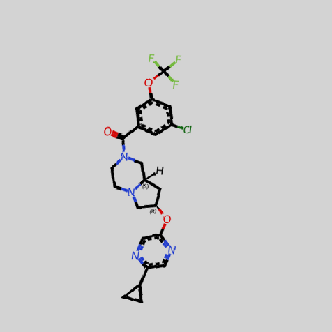 O=C(c1cc(Cl)cc(OC(F)(F)F)c1)N1CCN2C[C@H](Oc3cnc(C4CC4)cn3)C[C@H]2C1